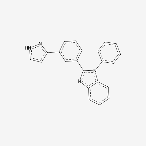 c1ccc(-n2c(-c3cccc(-c4cc[nH]n4)c3)nc3ccccc32)cc1